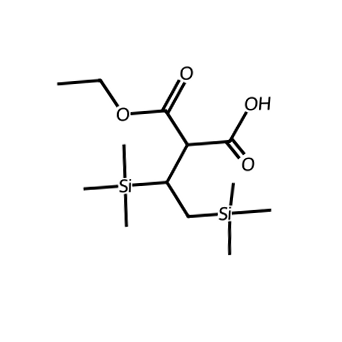 CCOC(=O)C(C(=O)O)C(C[Si](C)(C)C)[Si](C)(C)C